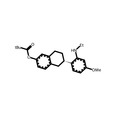 CCNc1cc(OC)ccc1[C@H]1CCc2cc(OC(=O)C(C)(C)C)ccc2C1